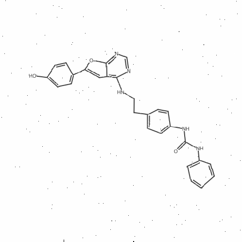 O=C(Nc1ccccc1)Nc1ccc(CCNc2ncnc3oc(-c4ccc(O)cc4)cc23)cc1